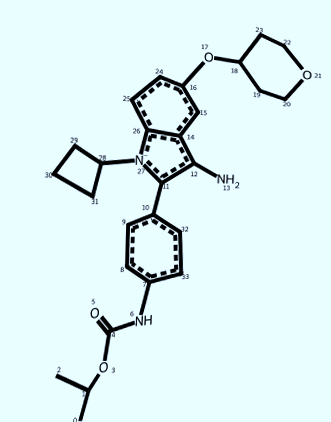 CC(C)OC(=O)Nc1ccc(-c2c(N)c3cc(OC4CCOCC4)ccc3n2C2CCC2)cc1